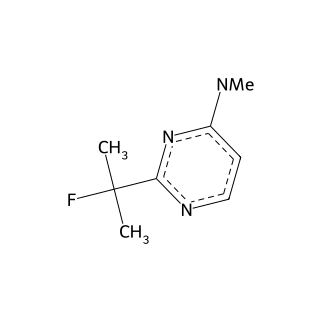 CNc1ccnc(C(C)(C)F)n1